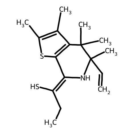 C=CC1(C)N/C(=C(/S)CC)c2sc(C)c(C)c2C1(C)C